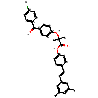 Cc1cc(C)cc(/C=C/c2ccc(OC(=O)C(C)(C)Oc3ccc(C(=O)c4ccc(Cl)cc4)cc3)cc2)c1